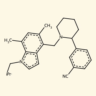 C[C](C)Cn1ccc2c(CN3CCCCC3c3cccc(C#N)c3)c(C)cc(C)c21